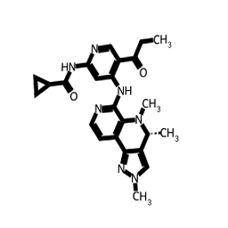 CCC(=O)c1cnc(NC(=O)C2CC2)cc1Nc1nccc2c1N(C)[C@H](C)c1cn(C)nc1-2